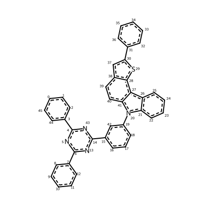 c1ccc(-c2nc(-c3ccccc3)nc(-c3cccc(-n4c5ccccc5c5c6sc(-c7ccccc7)cc6ccc54)c3)n2)cc1